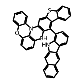 B1c2cccc3c2N(c2ccccc2O3)c2cc3sc4ccccc4c3c(-c3cccc4c3[nH]c3cc5ccccc5cc34)c21